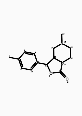 Cc1ccc(C2OC(=O)N3CCN(C)CC23)cc1